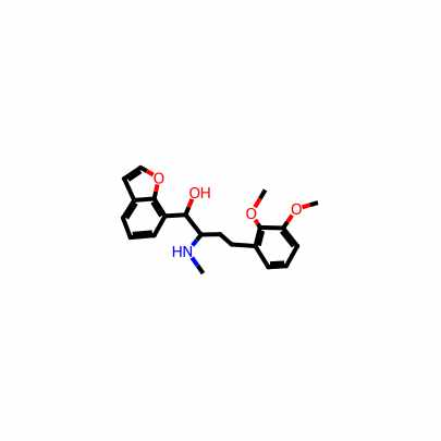 CNC(CCc1cccc(OC)c1OC)C(O)c1cccc2ccoc12